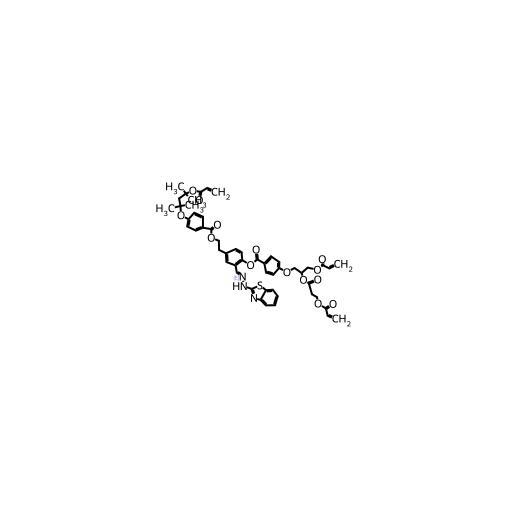 C=CC(=O)OCCC(=O)OC(COC(=O)C=C)COc1ccc(C(=O)Oc2ccc(CCOC(=O)c3ccc(OC(C)(C)CC(C)(C)OC(=O)C=C)cc3)cc2/C=N/Nc2nc3ccccc3s2)cc1